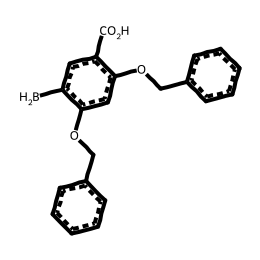 Bc1cc(C(=O)O)c(OCc2ccccc2)cc1OCc1ccccc1